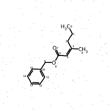 CCC/C(C)=C\C(=O)OCc1ccccc1